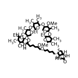 CCC1O[C@@H](O[C@@H]2CO[C@@H](O[C@@H]3C(CC)O[C@@H](O[C@@H]4CO[C@@H](O[C@@H]5C(CC)O[C@H](OC)C(C)[C@H]5C)C(C)[C@@H]4OC)C(C)[C@H]3C)C(C)[C@H]2C)C(NC(=O)CCCCCOCCCCC[C@@H]2SC[C@@H]3NC(=O)N[C@@H]32)[C@@H](C)[C@@H]1C